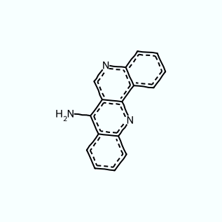 Nc1c2ccccc2nc2c1cnc1ccccc12